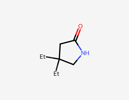 CCC1(CC)CNC(=O)C1